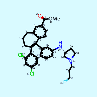 COC(=O)c1ccc2c(c1)CCCC(c1ccc(Cl)cc1Cl)=C2c1cccc(N[C@@H]2CCN(CCCF)C2)c1